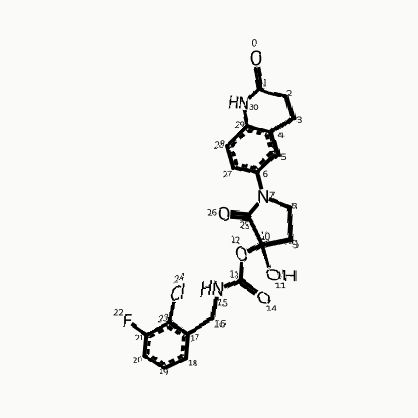 O=C1CCc2cc(N3CCC(O)(OC(=O)NCc4cccc(F)c4Cl)C3=O)ccc2N1